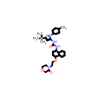 Cc1ccc(-n2nc([Si](C)(C)C)cc2NC(=O)Nc2ccc(OCCN3CCOCC3=O)c3ccccc23)cc1